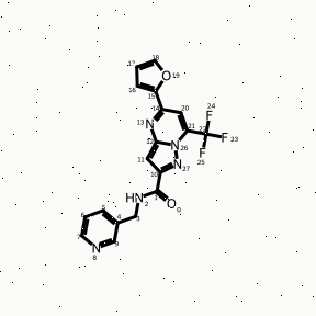 O=C(NCc1cccnc1)c1cc2nc(-c3ccco3)cc(C(F)(F)F)n2n1